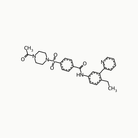 CCc1ccc(NC(=O)c2ccc(S(=O)(=O)N3CCN(C(C)=O)CC3)cc2)cc1-c1ccccn1